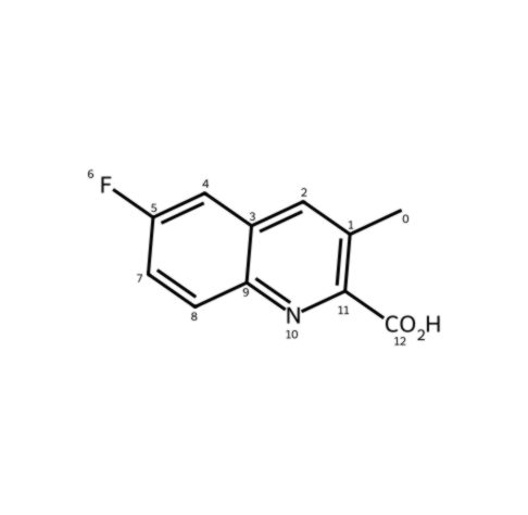 Cc1cc2cc(F)ccc2nc1C(=O)O